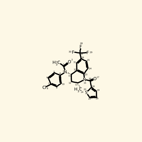 CC(=O)N(c1ccc(Cl)cc1)[C@H]1C[C@@H](C)N(C(=O)c2cccs2)c2ccc(C(F)(F)F)cc21